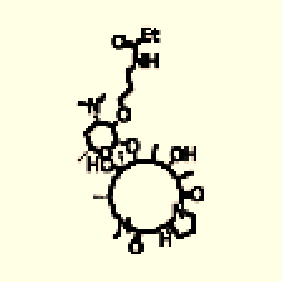 CCC(=O)NCCCO[C@H]1[C@H](O[C@@H]2[C@@H](C)[C@H](O)C(C)C(=O)N3CCC[C@H]3CC(=O)N(C)C[C@H](C)C[C@@]2(C)O)O[C@H](C)C[C@@H]1N(C)C